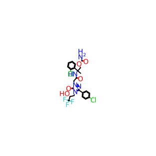 CC(COC(N)=O)(NC(=O)Cn1nc(-c2ccc(Cl)cc2)n(C[C@H](O)C(F)(F)F)c1=O)c1ccccc1Cl